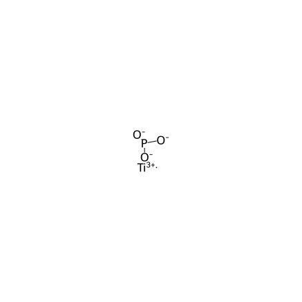 [O-]P([O-])[O-].[Ti+3]